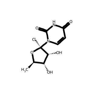 C[C@H]1O[C@@](Cl)(n2ccc(=O)[nH]c2=O)[C@H](O)[C@@H]1O